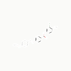 CCCOC1CCC(COc2ccc(C(=O)Oc3ccc(C#N)c(F)c3)cc2)CC1